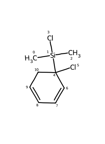 C[Si](C)(Cl)C1(Cl)C=CC=CC1